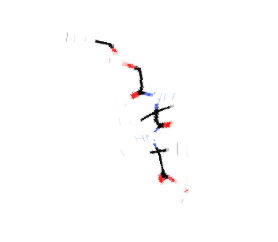 CCOCC(=O)NC(C)(C)C(=O)NC(C)(C)C(=O)OC